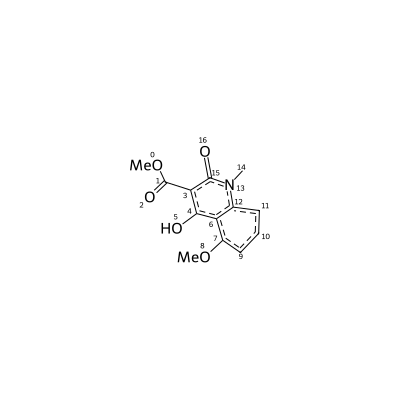 COC(=O)c1c(O)c2c(OC)cccc2n(C)c1=O